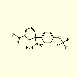 NC(=O)C1=CC=CC(C(N)=O)(c2ccc(OC(F)(F)F)cc2)C1